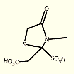 CN1C(=O)CSC1(CC(=O)O)S(=O)(=O)O